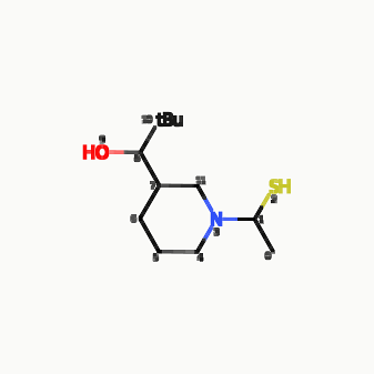 CC(S)N1CCCC(C(O)C(C)(C)C)C1